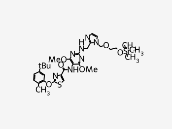 COc1nc(NCc2nccn2COCCO[Si](C)(C)C)nc(OC)c1NC(=O)c1csc(Oc2cc(C(C)(C)C)ccc2C)n1